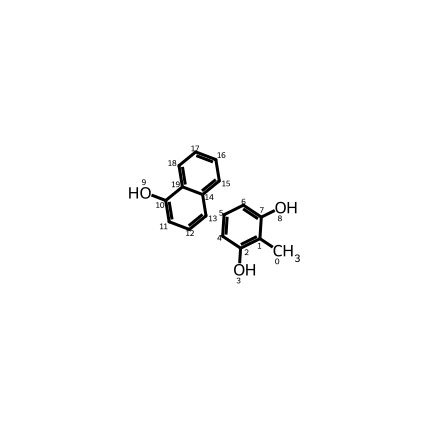 Cc1c(O)cccc1O.Oc1cccc2ccccc12